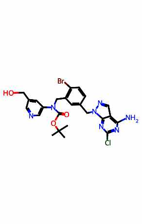 CC(C)(C)OC(=O)N(Cc1cc(Cn2ncc3c(N)nc(Cl)nc32)ccc1Br)c1cncc(CO)c1